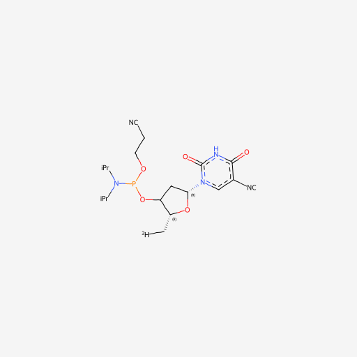 [2H]C[C@H]1O[C@@H](n2cc([N+]#[C-])c(=O)[nH]c2=O)CC1OP(OCCC#N)N(C(C)C)C(C)C